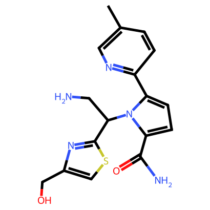 Cc1ccc(-c2ccc(C(N)=O)n2C(CN)c2nc(CO)cs2)nc1